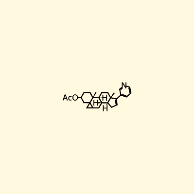 CC(=O)O[C@H]1CC[C@]2(C)[C@H]3CC[C@]4(C)C(c5cccnc5)=CC[C@H]4[C@@H]3CC3CC32C1